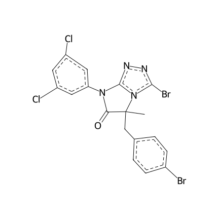 CC1(Cc2ccc(Br)cc2)C(=O)N(c2cc(Cl)cc(Cl)c2)c2nnc(Br)n21